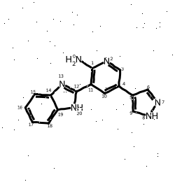 Nc1ncc(-c2cn[nH]c2)cc1-c1nc2ccccc2[nH]1